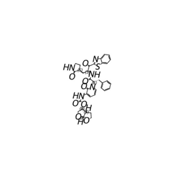 O=C(Nc1cccn([C@@H](Cc2ccccc2)C(=O)N[C@@H](C[C@@H]2CCNC2=O)C(=O)c2nc3ccccc3s2)c1=O)O[C@H]1CO[C@H]2OCC[C@H]21